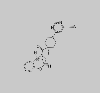 N#Cc1cc(N2CCC(F)(C(=O)N3C[C@@H]4C[C@H]3c3ccccc3O4)CC2)ncn1